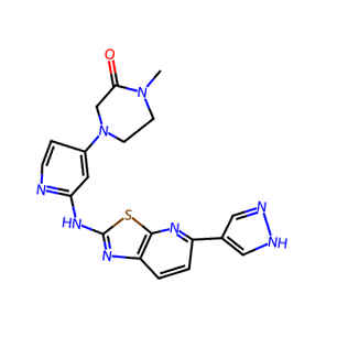 CN1CCN(c2ccnc(Nc3nc4ccc(-c5cn[nH]c5)nc4s3)c2)CC1=O